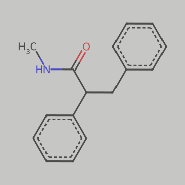 CNC(=O)C(Cc1ccccc1)c1ccccc1